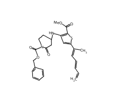 C=CC=CC=C(C)c1cc(NC2CCN(C(=O)OCc3ccccc3)C(=O)C2)c(C(=O)OC)s1